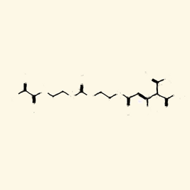 C=C(C)C(=O)OCCNC(=O)OCCNC(=O)/C=C(\C)C(C(=O)C(F)(F)F)C(=O)C(F)(F)F